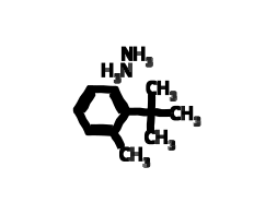 Cc1ccccc1C(C)(C)C.N.N